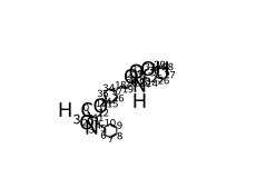 Cc1onc(-c2ccccc2)c1COc1ccc(C=CC(=O)N[C@@H](Cc2ccccc2)C(=O)O)cc1